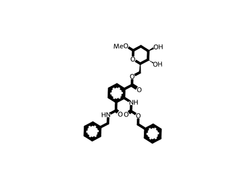 COC1C[C@@H](O)[C@H](O)[C@@H](COC(=O)c2cccc(C(=O)NCc3ccccc3)c2NC(=O)OCc2ccccc2)O1